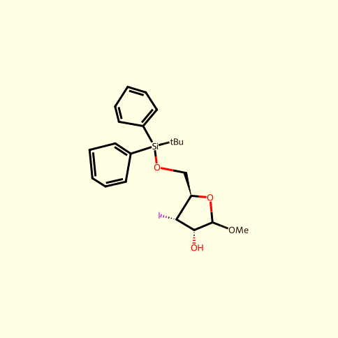 COC1O[C@H](CO[Si](c2ccccc2)(c2ccccc2)C(C)(C)C)[C@@H](I)[C@H]1O